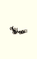 CC(=O)NCC1CN(CCCOc2ccc(Cl)cc2)CCO1